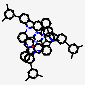 Cc1cc(C)cc(-c2ccc3c4ccccc4n(-c4cccc(-n5c6ccccc6c6ccc(-c7cc(C)cc(C)c7)cc65)c4-c4nc(-c5ccccc5)nc(-c5c(-n6c7ccccc7c7ccc(-c8cc(C)cc(C)c8)cc76)cccc5-n5c6ccccc6c6ccc(-c7cc(C)cc(C)c7)cc65)n4)c3c2)c1